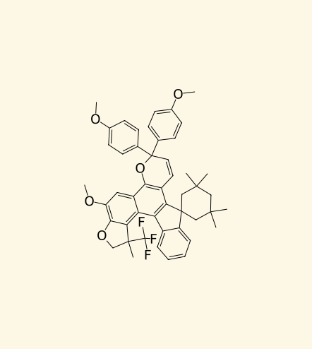 COc1ccc(C2(c3ccc(OC)cc3)C=Cc3c4c(c5c6c(c(OC)cc5c3O2)OCC6(C)C(F)(F)F)-c2ccccc2C42CC(C)(C)CC(C)(C)C2)cc1